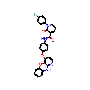 O=C(Nc1ccc(Oc2ccnc3c2Oc2ccccc2N3)cc1)c1cccn(-c2ccc(F)cc2)c1=O